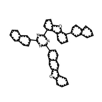 c1ccc2cc(-c3nc(-c4ccc5cc6c(cc5c4)oc4ccccc46)nc(-c4cccc5oc6c(-c7ccc8ccccc8c7)cccc6c45)n3)ccc2c1